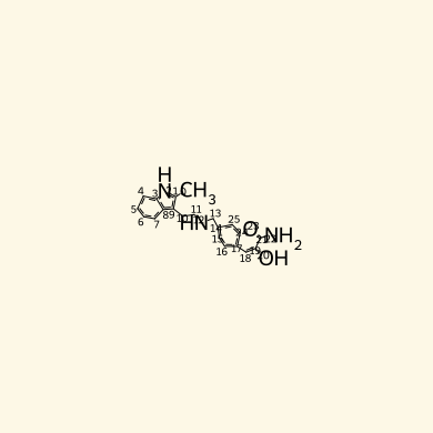 Cc1[nH]c2ccccc2c1CCNCc1ccc(/C=C(/O)C(N)=O)cc1